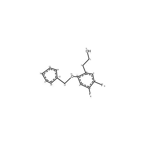 OCCc1cc(F)c(F)cc1OCc1ccccc1